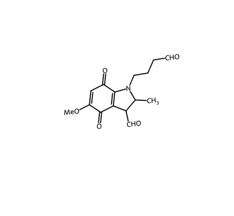 COC1=CC(=O)C2=C(C1=O)C(C=O)C(C)N2CCCC=O